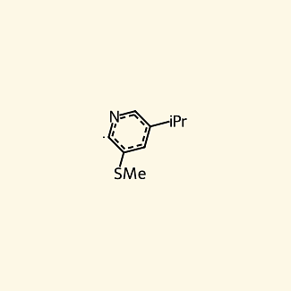 CSc1[c]ncc(C(C)C)c1